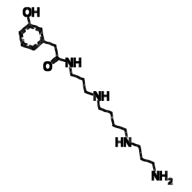 NCCCNCCCCNCCCNC(=O)Cc1cccc(O)c1